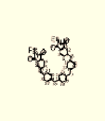 CCN1C(=O)c2ccc(Cc3ccc(Cc4ccc(Cc5ccc(Cc6ccc7c(c6)C(=O)N(CC)C7=O)cc5)cc4)cc3)cc2C1=O